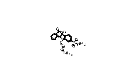 NOOSn1c2cc(S(N)(=O)=O)ccc2c2[nH]c(=O)c3ccccc3c21